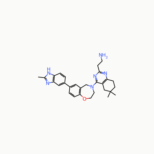 Cc1nc2cc(-c3ccc4c(c3)CN(c3nc(CCN)nc5c3CC(C)(C)CC5)CCO4)ccc2[nH]1